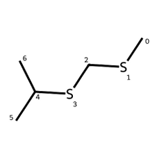 CSCSC(C)C